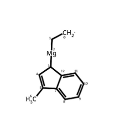 [CH2][CH2][Mg][CH]1C=C(C)c2ccccc21